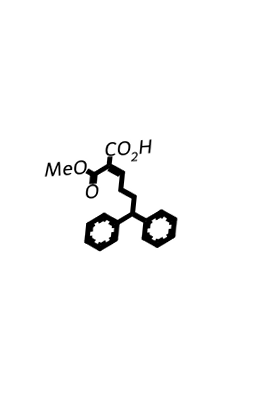 COC(=O)C(=CCCC(c1ccccc1)c1ccccc1)C(=O)O